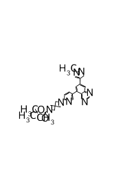 Cn1cc(-c2cc(-c3ccc(N4CC5(CN(C(=O)OC(C)(C)C)C5)C4)nc3)c3cncnc3c2)cn1